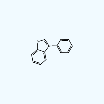 c1ccc(-[n+]2csc3ccccc32)cc1